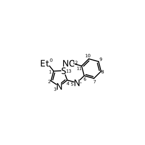 CCc1cnc([N]c2ccccc2C#N)s1